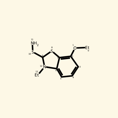 CCOc1cccc2c1SC(SN)N2CC